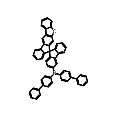 c1ccc(-c2ccc(N(c3ccc(-c4ccccc4)cc3)c3ccc4c(c3)-c3ccccc3C43c4ccccc4-c4cc5c(cc43)oc3ccccc35)cc2)cc1